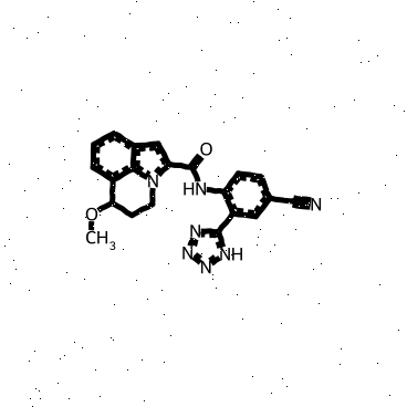 COC1CCn2c(C(=O)Nc3ccc(C#N)cc3-c3nnn[nH]3)cc3cccc1c32